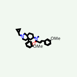 COc1cccc(/C=C/C(=O)N(C)C2CCC3CN(CC4CC4)CCC3(c3cccc(OC)c3)C2)c1